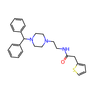 O=C(Cc1cccs1)NCCN1CCN(C(c2ccccc2)c2ccccc2)CC1